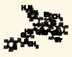 CCC(C)(CC)CN(C(=O)[C@@H](CC(=O)NCC(=O)N(C)CCc1ccccn1)Cc1csc(N)n1)[C@@H](CC1CCCCC1)[C@@H](O)[C@@H](O)CC(C)C